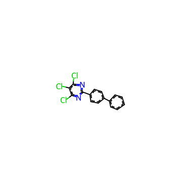 Clc1nc(-c2ccc(-c3ccccc3)cc2)nc(Cl)c1Cl